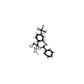 NC1(C=O)OC(c2ccccc2)=Nc2cc(C(F)(F)F)ccc21